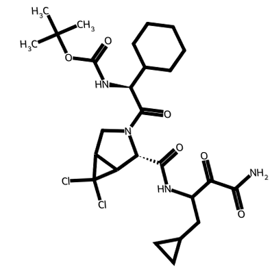 CC(C)(C)OC(=O)N[C@H](C(=O)N1CC2C([C@H]1C(=O)NC(CC1CC1)C(=O)C(N)=O)C2(Cl)Cl)C1CCCCC1